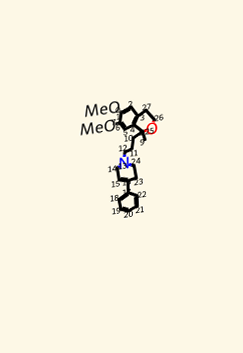 COc1cc2c(cc1OC)C(C)(CCCN1CC=C(c3ccccc3)CC1)OCC2